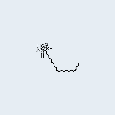 CCC/C=C\CCCCC/C=C\CCCCCCCCCC(O)(C[N+](C)(C)C)P(=O)(O)O